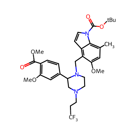 COC(=O)c1ccc(C2CN(CCC(F)(F)F)CCN2Cc2c(OC)cc(C)c3c2ccn3C(=O)OC(C)(C)C)cc1OC